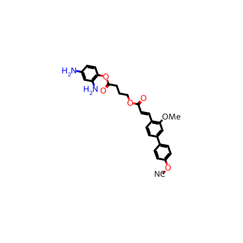 COc1cc(-c2ccc(OC#N)cc2)ccc1/C=C/C(=O)OCCCC(=O)Oc1ccc(N)cc1N